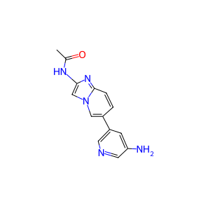 CC(=O)Nc1cn2cc(-c3cncc(N)c3)ccc2n1